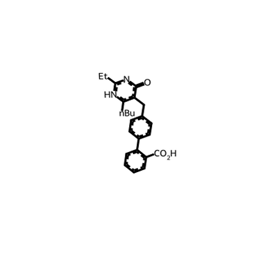 CCCCc1[nH]c(CC)nc(=O)c1Cc1ccc(-c2ccccc2C(=O)O)cc1